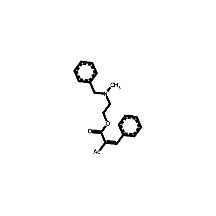 CC(=O)C(=Cc1ccccc1)C(=O)OCCN(C)Cc1ccccc1